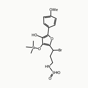 COc1ccc(-c2oc(C(Br)CCN[SH](=O)=O)c(O[Si](C)(C)C)c2O)cc1